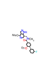 CCOc1cc(C(=O)N(C)Cc2cnc(OC)c3cn[nH]c23)ccc1-c1cccc(F)c1